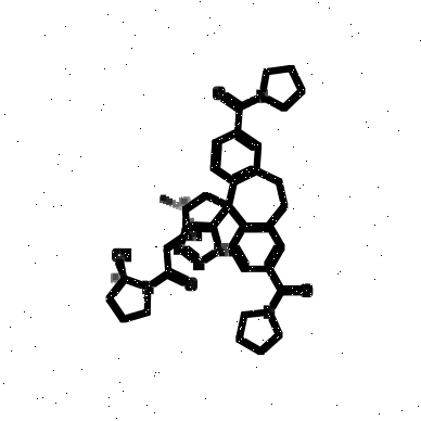 C[C@H](CC1(c2nnn[nH]2)c2ccc(C(=O)N3CCCC3)cc2CCc2cc(C(=O)N3CCCC3)ccc21)NCC(=O)N1CCC[C@H]1C#N